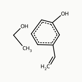 C=Cc1cccc(O)c1.CCO